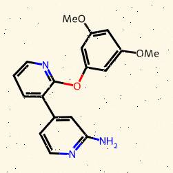 COc1cc(OC)cc(Oc2ncccc2-c2ccnc(N)c2)c1